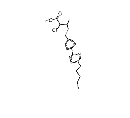 CCCCCc1cnc(-c2ccc(CCC(C)C(Cl)C(=O)O)cc2)nc1